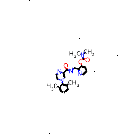 Cc1cccc(C)c1N1C=C(C(=O)N=Cc2ncccc2OC(=O)N(C)C)N=CC1